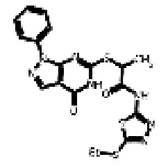 CCSc1nnc(NC(=O)C(C)Sc2nc3c(cnn3-c3ccccc3)c(=O)[nH]2)s1